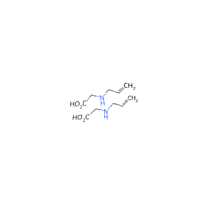 C=CCNCC(=O)O.C=CCNCC(=O)O